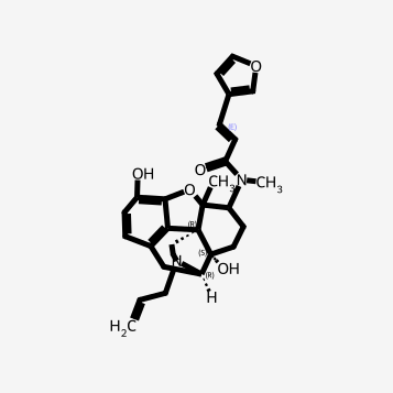 C=CCN1CC[C@]23c4c5ccc(O)c4OC2(C)C(N(C)C(=O)/C=C/c2ccoc2)CC[C@@]3(O)[C@H]1C5